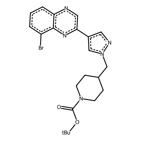 CC(C)(C)OC(=O)N1CCC(Cn2cc(-c3cnc4cccc(Br)c4n3)cn2)CC1